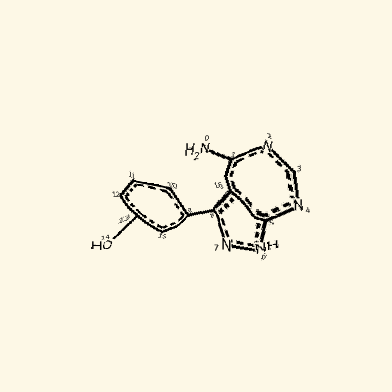 Nc1ncnc2[nH]nc(-c3cccc(O)c3)c12